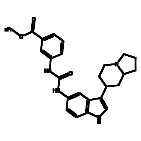 CCCOC(=O)c1cccc(NC(=O)Nc2ccc3[nH]cc(C4CCN5CCCC5C4)c3c2)c1